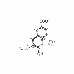 O=C([O-])c1ccc2cc(O)c(C(=O)[O-])cc2c1.[K+].[K+]